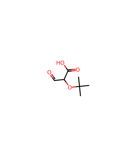 CC(C)(C)OC(C=O)C(=O)O